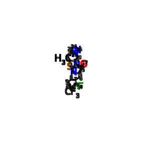 Cc1sc2nc(Cc3cccc(C(F)(F)F)c3F)cc(=O)n2c1Cn1cccn1